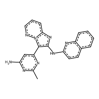 Cc1nc(N)cc(-c2c(Nc3ccc4ccccc4n3)nc3cccnn23)n1